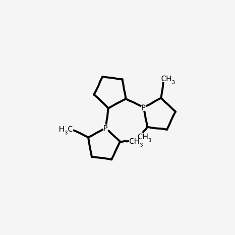 CC1CCC(C)P1C1CCCC1P1C(C)CCC1C